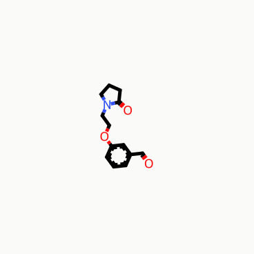 O=Cc1cccc(OCCN2CCCC2=O)c1